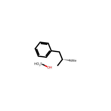 CN[C@H](C)Cc1ccccc1.O=S(=O)(O)O